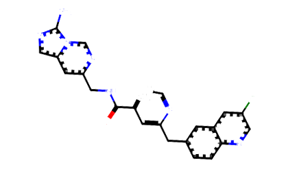 C=C(/C=C(Cc1ccc2ncc(Cl)cc2c1)\N=C/C)C(=O)NCc1cc2cnc(N)n2cn1